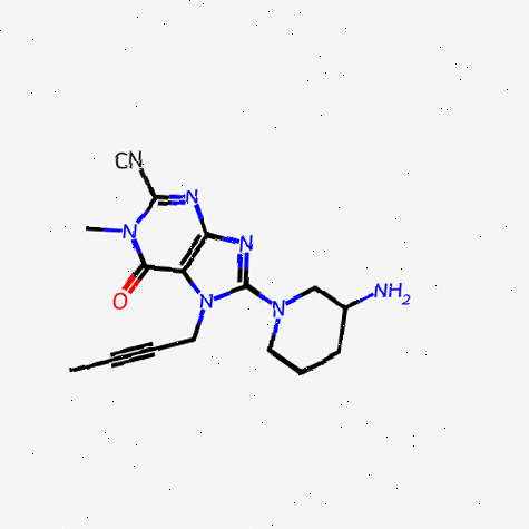 [C-]#[N+]c1nc2nc(N3CCCC(N)C3)n(CC#CC)c2c(=O)n1C